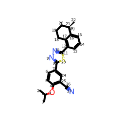 CC(C)Oc1ccc(-c2nnc(-c3cccc4c3CCC[C@H]4C)s2)cc1C#N